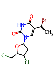 C=C(Br)c1cn([C@H]2CC(Cl)[C@@H](CCl)O2)c(=O)[nH]c1=O